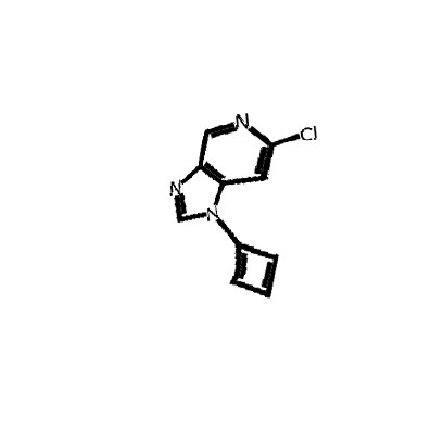 Clc1cc2c(cn1)ncn2C1=CC=C1